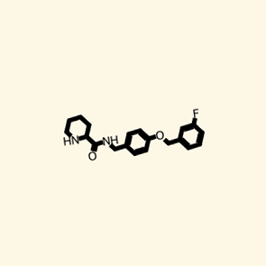 O=C(NCc1ccc(OCc2cccc(F)c2)cc1)C1CCCCN1